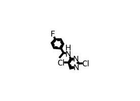 CC(Nc1nc(Cl)ncc1Cl)c1ccc(F)cc1